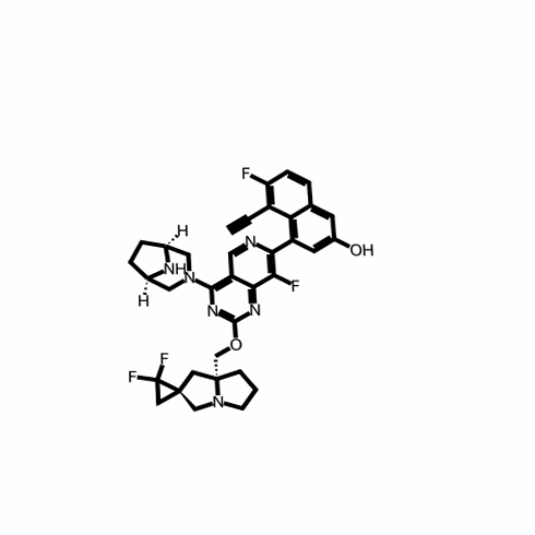 C#Cc1c(F)ccc2cc(O)cc(-c3ncc4c(N5C[C@H]6CC[C@@H](C5)N6)nc(OC[C@]56CCCN5C[C@]5(CC5(F)F)C6)nc4c3F)c12